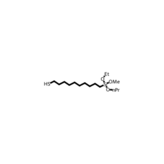 CCCO[Si](CCCCCCCCCCS)(OC)OCC